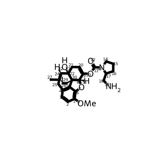 COc1ccc2c3c1O[C@H]1C(OC(=O)N4CCCC4CN)=CC[C@@]4(O)[C@@H](C2)N(C)CC[C@]314